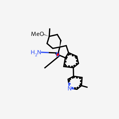 CO[C@]1(C)CC[C@@]2(CC1)Cc1ccc(-c3cncc(C)c3)cc1C21N=C(C)C(N)=N1